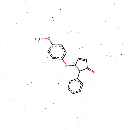 COc1ccc(O[C@H]2C=CC(=O)C2c2ccccc2)cc1